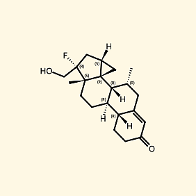 C[C@@H]1CC2=CC(=O)CC[C@@H]2[C@H]2CC[C@]3(C)[C@@](F)(CO)C[C@@H]4C[C@]43[C@@H]21